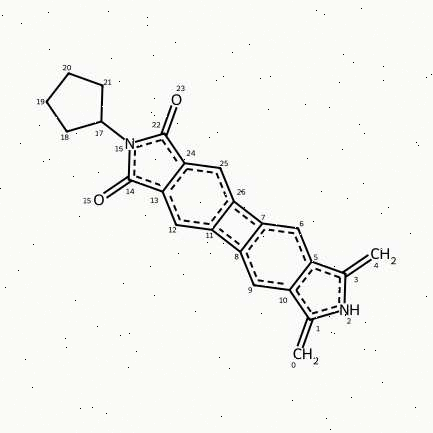 C=c1[nH]c(=C)c2cc3c(cc12)c1cc2c(=O)n(C4CCCC4)c(=O)c2cc31